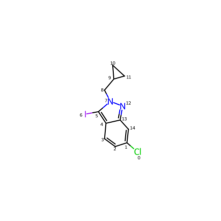 Clc1ccc2c(I)n(CC3CC3)nc2c1